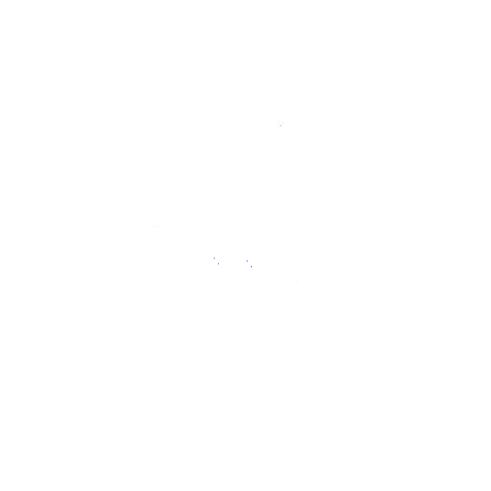 C/C(=N/NS(=O)(=O)c1ccccc1)c1ccc(Br)cc1